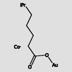 CC(C)CCCCC(=O)[O][Au].[Co]